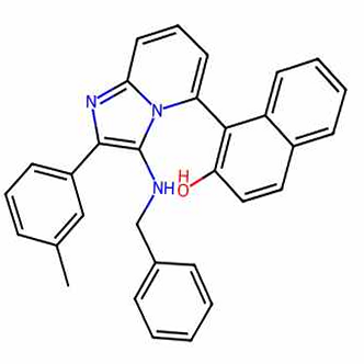 Cc1cccc(-c2nc3cccc(-c4c(O)ccc5ccccc45)n3c2NCc2ccccc2)c1